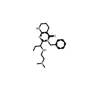 CCC(NCCN(C)C)c1nc2c(c(=O)n1Cc1ccccc1)CCCN2